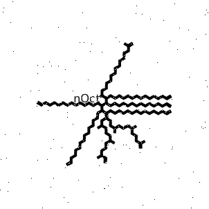 C=CCCCCCCCCCCCCCC(=C(CCC(C)CCCC(C)CCCC(=C)C)CC(C)CCCC(C)CCCC(C)C=C)C(CCCCCCCCCCCCCC=C)C(CCCCCCCCCCCCCC=C)C(CCCCCCCCCCCCCC=C)C(CCCCCCCCCCCCCC=C)C(CCCCCCCC)CCCCCCCCCCCCC(=C)C